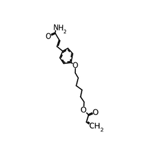 C=CC(=O)OCCCCCCOc1ccc(/C=C/C(N)=O)cc1